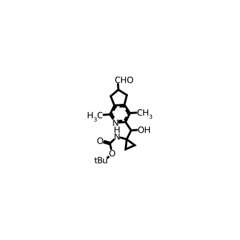 Cc1nc(C(O)C2(NC(=O)OC(C)(C)C)CC2)c(C)c2c1CC(C=O)C2